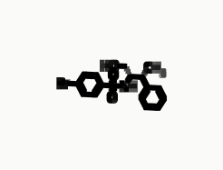 C[C@H](c1ccccc1)[C@@H](CO)NS(=O)(=O)c1ccc(Br)cc1